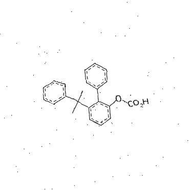 CC(C)(c1ccccc1)c1cccc(OC(=O)O)c1-c1ccccc1